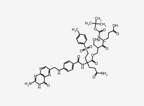 Cc1ccc(S(=O)(=O)CCC(CCC(N)=O)(NC(=O)c2ccc(NCc3cnc4nc(N)[nH]c(=O)c4n3)cc2)C(=O)OCC(CO)C(=O)[C@H](CCC(=O)O)NC(=O)OC(C)(C)C)cc1